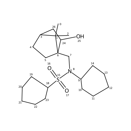 CC1(C)C2CCC1(CN(C1CCCCC1)S(=O)(=O)C1CCCCC1)C(O)C2